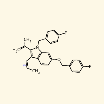 C=C(C)c1c(/C=C\C)c2ccc(OCc3ccc(F)cc3)cc2n1Cc1ccc(F)cc1